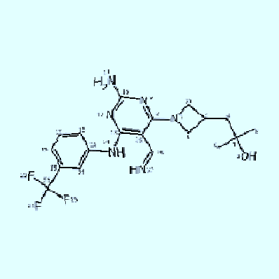 CC(C)(O)CC1CN(c2nc(N)nc(Nc3cccc(C(F)(F)F)c3)c2C=N)C1